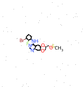 CSOCC1COc2cc3ncnc(Nc4cccc(Br)c4F)c3cc2O1